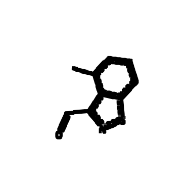 Cc1cccc2snc(C=O)c12